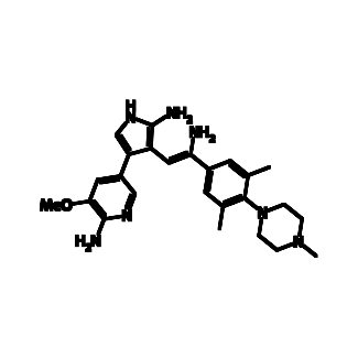 COc1cc(-c2c[nH]c(N)c2/C=C(\N)c2cc(C)c(N3CCN(C)CC3)c(C)c2)cnc1N